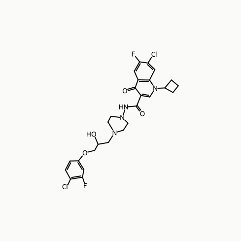 O=C(NN1CCN(CC(O)COc2ccc(Cl)c(F)c2)CC1)c1cn(C2CCC2)c2cc(Cl)c(F)cc2c1=O